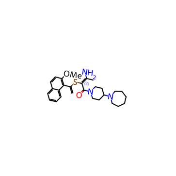 C=C(S/C(C(=O)N1CCC(N2CCCCCC2)CC1)=C(/C)N)c1c(OC)ccc2ccccc12